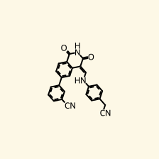 N#CCc1ccc(N/C=C2/C(=O)NC(=O)c3ccc(-c4cccc(C#N)c4)cc32)cc1